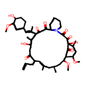 C=CCC1/C=C(\C)CC(C)CC(OC)C2C(=O)C(O)(C(=O)C(=O)N3CCCCC3C(=O)C(=O)C(C(C)=CC3CCC(O)C(OC)C3)C(C)C(O)CC1=O)C(C)CC2OC